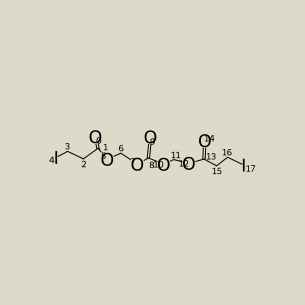 O=C(CCI)OCOC(=O)OCOC(=O)CCI